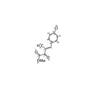 COC(=O)C(=O)/C(C)=C/c1ccc(Cl)cc1